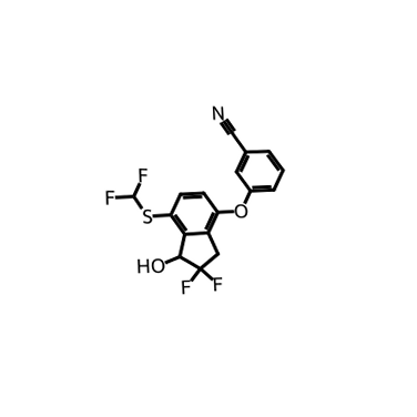 N#Cc1cccc(Oc2ccc(SC(F)F)c3c2CC(F)(F)C3O)c1